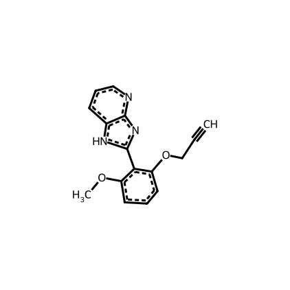 C#CCOc1cccc(OC)c1-c1nc2ncccc2[nH]1